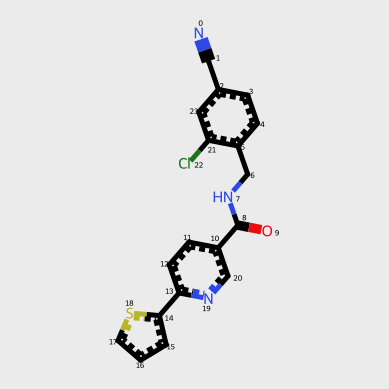 N#Cc1ccc(CNC(=O)c2ccc(-c3cccs3)nc2)c(Cl)c1